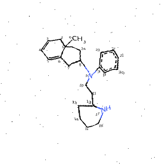 CC12CC=CC=C1CC(N(CCC1CCCCN1)c1ccccc1)C2